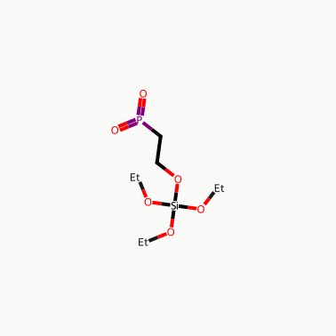 CCO[Si](OCC)(OCC)OCCP(=O)=O